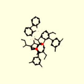 CCc1ccc2c(c1-c1cc(C)cc(C)c1)C=C(C(C)CC)[CH]2[Zr]([Cl])([Cl])([c]1cccc2c1[SiH2]c1ccccc1-2)[CH]1C(C(C)CC)=Cc2c1ccc(CC)c2-c1cc(C)cc(C)c1